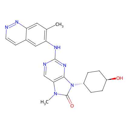 Cc1cc2nnccc2cc1Nc1ncc2c(n1)n([C@H]1CC[C@H](O)CC1)c(=O)n2C